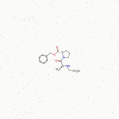 CCOC(=O)CN[C@@H](C)C(=O)N1CCC[C@H]1C(=O)OCc1ccccc1